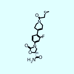 CSCC(=O)N1CC=C(c2ccc(N3C[C@H](C(N)=O)OC3=O)cc2F)CC1